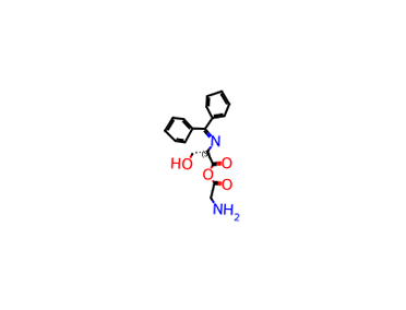 NCC(=O)OC(=O)[C@H](CO)N=C(c1ccccc1)c1ccccc1